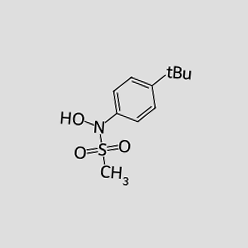 CC(C)(C)c1ccc(N(O)S(C)(=O)=O)cc1